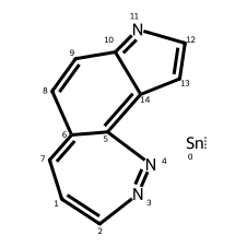 [Sn].c1cnnc2c(c1)ccc1nccc12